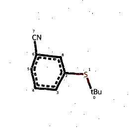 CC(C)(C)Sc1cccc(C#N)c1